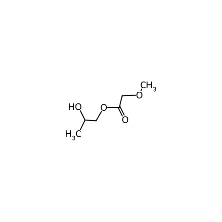 COCC(=O)OCC(C)O